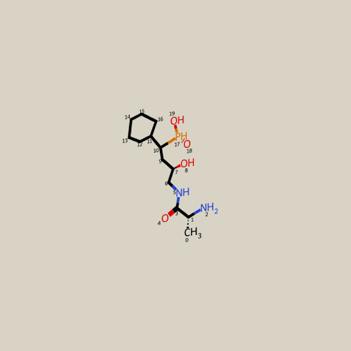 C[C@@H](N)C(=O)NC[C@H](O)CC(C1CCCCC1)[PH](=O)O